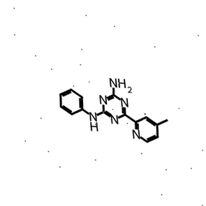 Cc1ccnc(-c2nc(N)nc(Nc3ccccc3)n2)c1